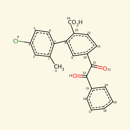 Cc1cc(Cl)ccc1-c1cc(C(=O)C(=O)c2ccccc2)ccc1C(=O)O